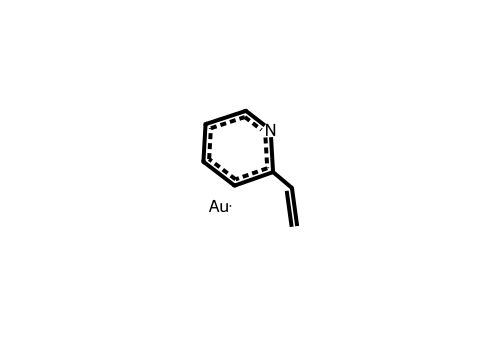 C=Cc1ccccn1.[Au]